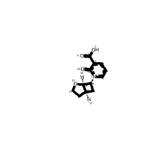 O=C(O)c1cccn([C@@H]2C[C@H]3CCO[C@H]32)c1=O